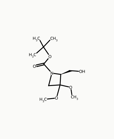 COC1(OC)CN(C(=O)OC(C)(C)C)[C@H]1CO